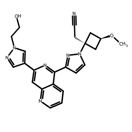 CO[C@H]1C[C@@](CC#N)(n2ccc(-c3nc(-c4cnn(CCO)c4)cc4ncccc34)n2)C1